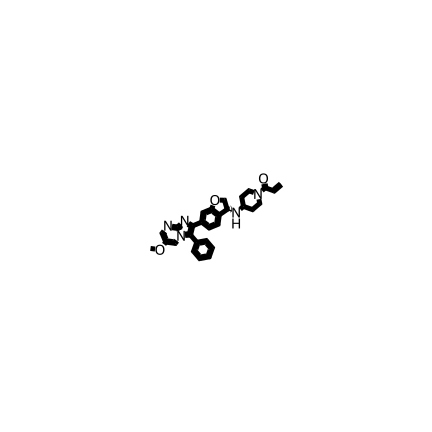 C=CC(=O)N1CCC(N[C@H]2COc3cc(-c4nc5ncc(OC)cn5c4-c4ccccc4)ccc32)CC1